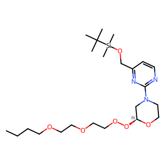 CCCCOCCOCCOO[C@H]1CN(c2nccc(CO[Si](C)(C)C(C)(C)C)n2)CCO1